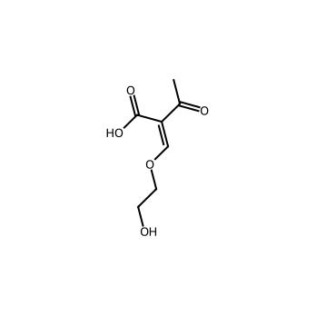 CC(=O)C(=COCCO)C(=O)O